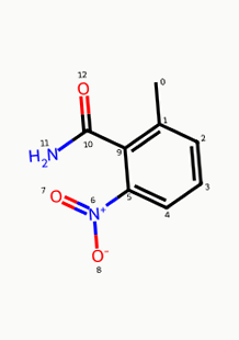 Cc1cccc([N+](=O)[O-])c1C(N)=O